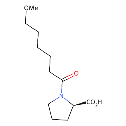 COCCCCCC(=O)N1CCC[C@@H]1C(=O)O